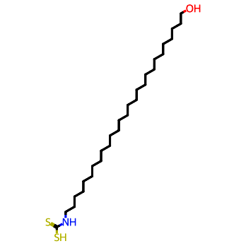 OCCCCCCCCCCCCCCCCCCCCCCCCCCCNC(=S)S